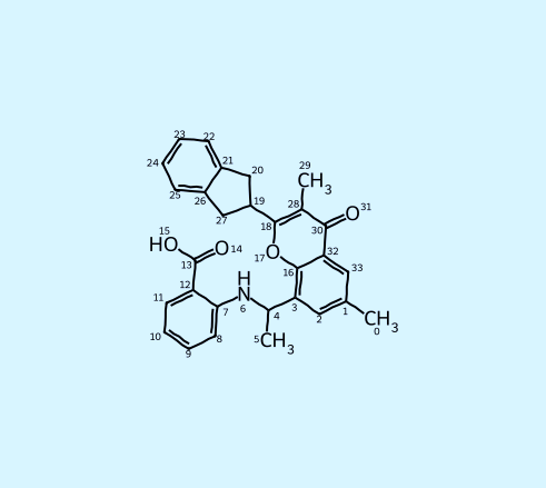 Cc1cc(C(C)Nc2ccccc2C(=O)O)c2oc(C3Cc4ccccc4C3)c(C)c(=O)c2c1